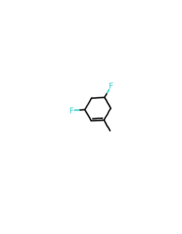 CC1=CC(F)CC(F)C1